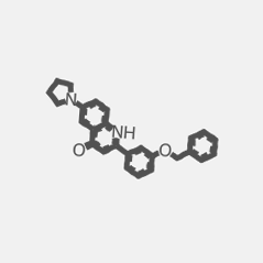 O=c1cc(-c2cccc(OCc3ccccc3)c2)[nH]c2ccc(N3CCCC3)cc12